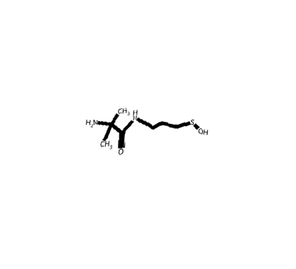 CC(C)(N)C(=O)NCCCSO